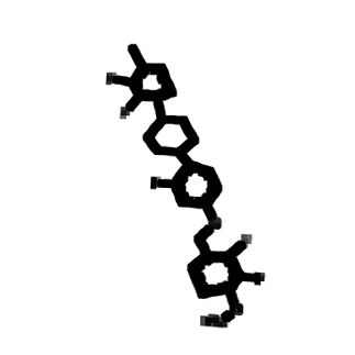 CCCCOc1ccc(COc2ccc(C3CCC(c4ccc(C)c(F)c4F)CC3)c(F)c2)c(F)c1F